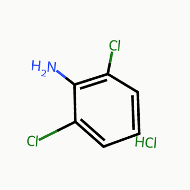 Cl.Nc1c(Cl)cccc1Cl